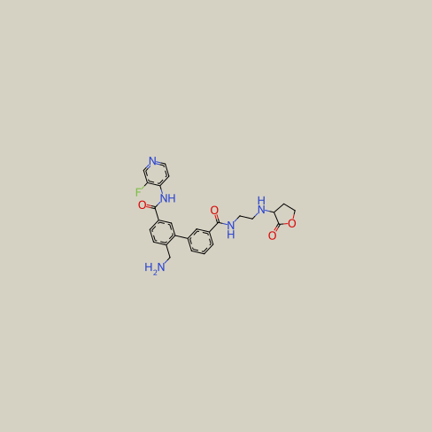 NCc1ccc(C(=O)Nc2ccncc2F)cc1-c1cccc(C(=O)NCCNC2CCOC2=O)c1